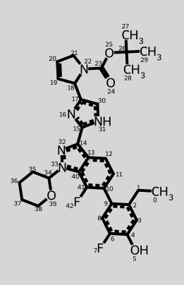 CCc1cc(O)c(F)cc1-c1ccc2c(-c3nc(C4C=CCN4C(=O)OC(C)(C)C)c[nH]3)nn(C3CCCCO3)c2c1F